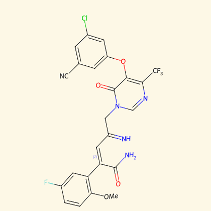 COc1ccc(F)cc1/C(=C/C(=N)Cn1cnc(C(F)(F)F)c(Oc2cc(Cl)cc(C#N)c2)c1=O)C(N)=O